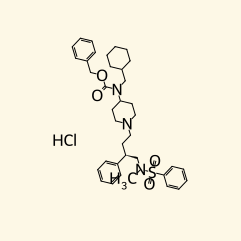 CN(C[C@H](CCN1CCC(N(CC2CCCCC2)C(=O)OCc2ccccc2)CC1)c1ccccc1)S(=O)(=O)c1ccccc1.Cl